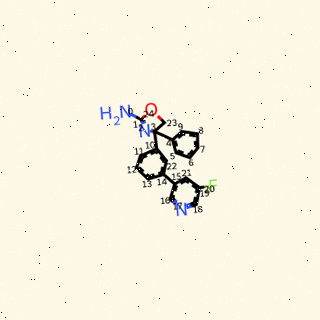 NC1=NC(c2ccccc2)(c2cccc(-c3cncc(F)c3)c2)CO1